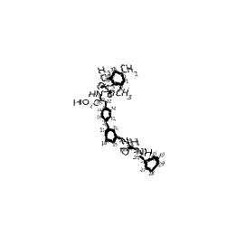 Cc1cc(C)c(S(=O)(=O)N[C@@H](Cc2ccc(-c3cccc(NC(=O)NCc4ccccc4)c3)cc2)C(=O)O)c(C)c1